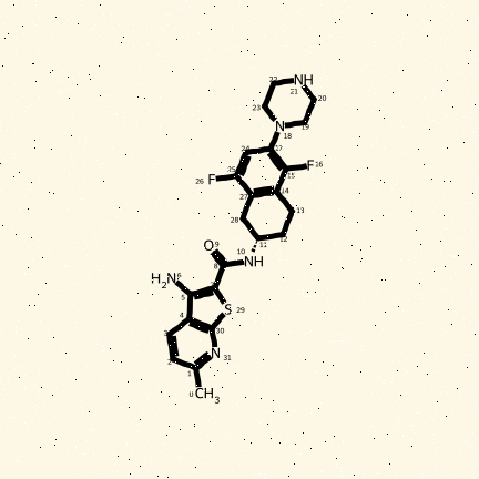 Cc1ccc2c(N)c(C(=O)N[C@H]3CCc4c(F)c(N5CCNCC5)cc(F)c4C3)sc2n1